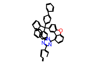 C=C/C=C\C(=C/C)c1nc(-c2ccccc2)nc(-c2cccc3oc4ccc(C5(c6ccc(-c7ccccc7)cc6)c6ccccc6-c6ccccc65)cc4c23)n1